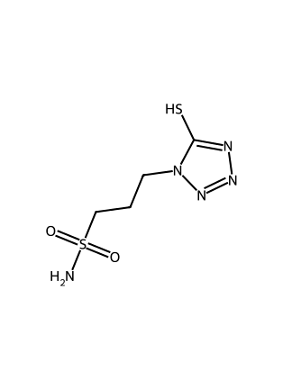 NS(=O)(=O)CCCn1nnnc1S